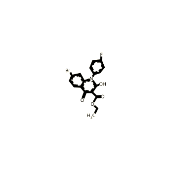 CCOC(=O)c1c(O)n(-c2ccc(F)cc2)c2cc(Br)ccc2c1=O